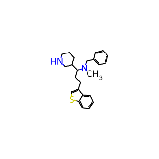 CN(Cc1ccccc1)C(CCc1csc2ccccc12)C1CCCNC1